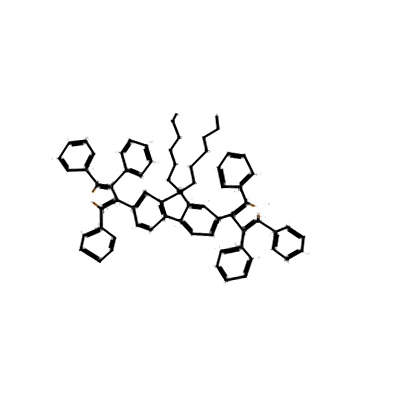 CCCCCCC1(CCCCCC)c2cc(-c3c(-c4ccccc4)sc(-c4ccccc4)c3-c3ccccc3)ccc2-c2ccc(-c3c(-c4ccccc4)sc(-c4ccccc4)c3-c3ccccc3)cc21